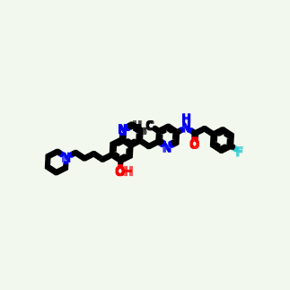 Cc1cc(NC(=O)Cc2ccc(F)cc2)cnc1Cc1ccnc2cc(CCCCN3CCCCC3)c(O)cc12